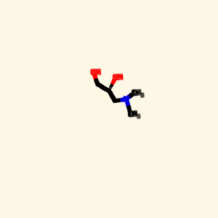 CN(C)C[C@@H](O)CO